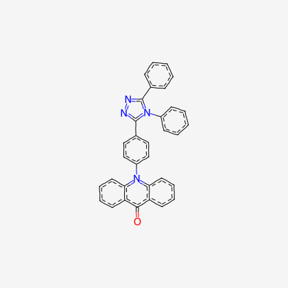 O=c1c2ccccc2n(-c2ccc(-c3nnc(-c4ccccc4)n3-c3ccccc3)cc2)c2ccccc12